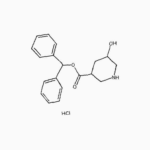 Cl.O=C(OC(c1ccccc1)c1ccccc1)C1CNCC(O)C1